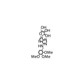 COc1ccc(CNc2ncnc3c2ncn3C2O[C@H](CO)[C@@H](O)[C@@H]2O)c(OC)c1OC